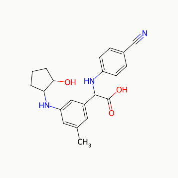 Cc1cc(NC2CCCC2O)cc(C(Nc2ccc(C#N)cc2)C(=O)O)c1